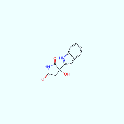 O=C1CC(O)(c2cc3ccccc3[nH]2)C(=O)N1